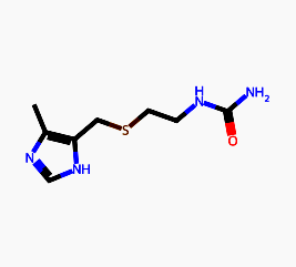 Cc1nc[nH]c1CSCCNC(N)=O